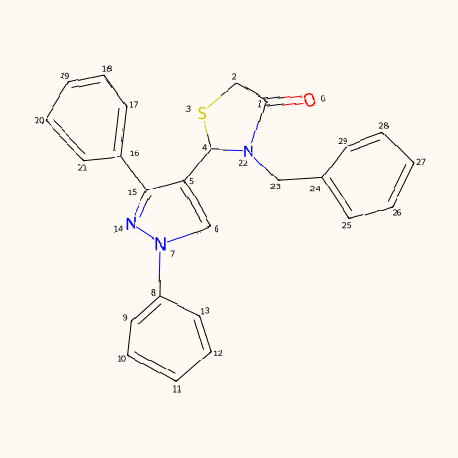 O=C1CSC(c2cn(-c3ccccc3)nc2-c2ccccc2)N1Cc1ccccc1